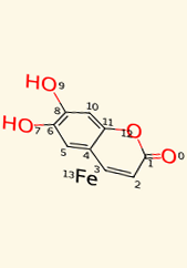 O=c1ccc2cc(O)c(O)cc2o1.[Fe]